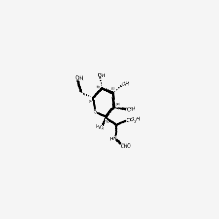 O=CNC(C(=O)O)[C@]1(O)O[C@H](CO)[C@H](O)[C@H](O)[C@H]1O